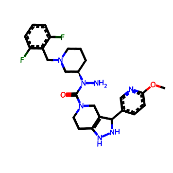 COc1ccc(C2NNC3=C2CN(C(=O)N(N)[C@@H]2CCCN(Cc4c(F)cccc4F)C2)CC3)cn1